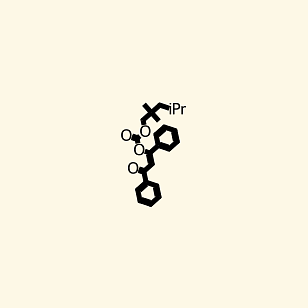 CC(C)CC(C)(C)COC(=O)OC(=CC(=O)c1ccccc1)c1ccccc1